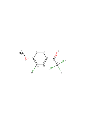 COc1ccc(C(=O)C(F)(F)F)cc1F